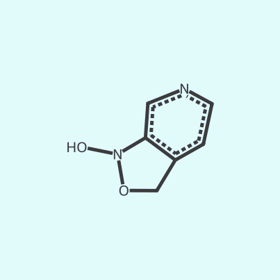 ON1OCc2ccncc21